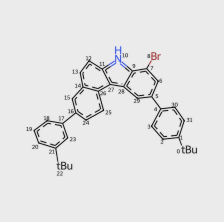 CC(C)(C)c1ccc(-c2cc(Br)c3[nH]c4ccc5cc(-c6cccc(C(C)(C)C)c6)ccc5c4c3c2)cc1